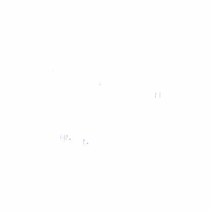 COc1ccc(N=N)c(OCCO)c1C